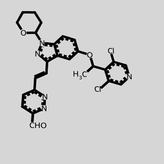 CC(Oc1ccc2c(c1)c(/C=C/c1ccc(C=O)nn1)nn2C1CCCCO1)c1c(Cl)cncc1Cl